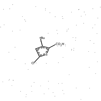 CC(C)(C)c1cc(Cl)sc1C(=O)O